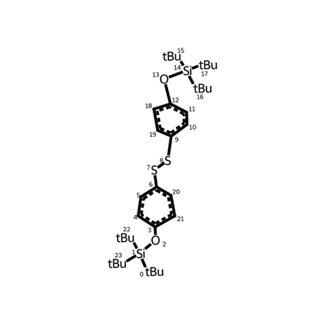 CC(C)(C)[Si](Oc1ccc(SSc2ccc(O[Si](C(C)(C)C)(C(C)(C)C)C(C)(C)C)cc2)cc1)(C(C)(C)C)C(C)(C)C